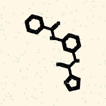 N=C(Nc1cccc(NC(=O)c2ccccc2)c1)c1cccs1